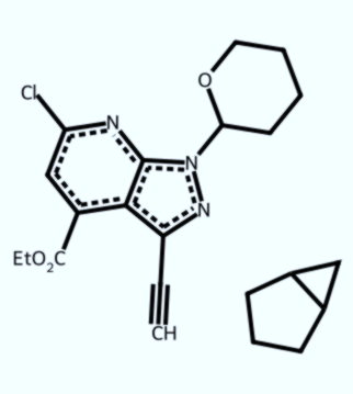 C#Cc1nn(C2CCCCO2)c2nc(Cl)cc(C(=O)OCC)c12.C1CC2CC2C1